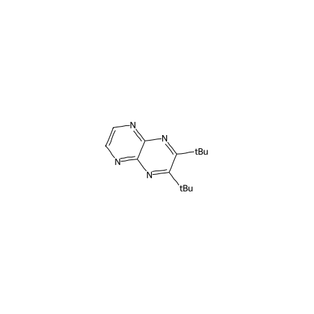 CC(C)(C)c1nc2nccnc2nc1C(C)(C)C